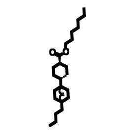 CCCCCCCOC(=O)[C@H]1CC[C@H](C23CCC(CCCC)(CC2)CC3)CC1